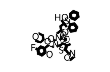 COc1ccc(F)cc1[C@H](CN1C(=O)N(CC(=O)CC(C)(C)[Si](O)(c2ccccc2)c2ccccc2)S(=O)(=O)C2C(C)=C(c3ncco3)SC21)OC1CCOCC1